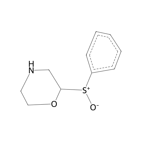 [O-][S+](c1ccccc1)C1CNCCO1